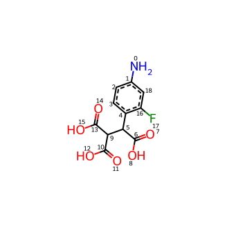 Nc1ccc(C(C(=O)O)C(C(=O)O)C(=O)O)c(F)c1